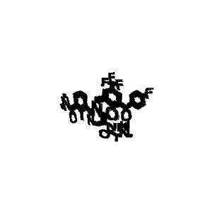 CN[C@@H](C)C(=O)Nc1cnc(-c2cccc(C(=O)N(C)C)c2C)n(Cc2cc(C(=O)c3ccc(F)cc3)cc(C(F)(F)F)c2)c1=O